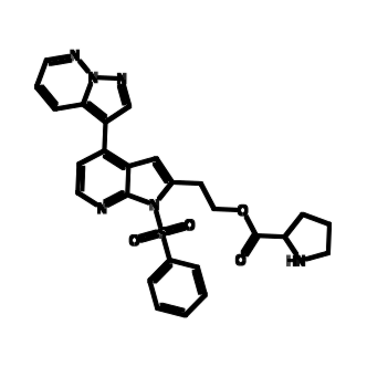 O=C(OCCc1cc2c(-c3cnn4ncccc34)ccnc2n1S(=O)(=O)c1ccccc1)C1CCCN1